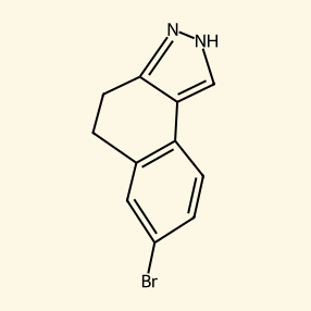 Brc1ccc2c(c1)CCc1n[nH]cc1-2